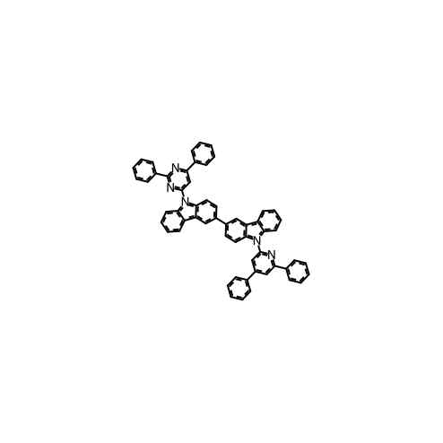 c1ccc(-c2cc(-c3ccccc3)nc(-n3c4ccccc4c4cc(-c5ccc6c(c5)c5ccccc5n6-c5cc(-c6ccccc6)nc(-c6ccccc6)n5)ccc43)c2)cc1